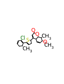 COC1C=CC2C(C3CC=C(C4=C(Cl)C=CCC4C)S3)=CC(=O)OC2C1C